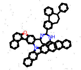 C1=C(c2ccc3ccccc3c2)NC(c2ccc3c(c2)CCC(c2ccccc2)c2ccccc2-3)N=C(c2cc3oc4ccc5ccccc5c4c3cc2-n2c3cc4ccccc4cc3c3cc4ccccc4cc32)C1